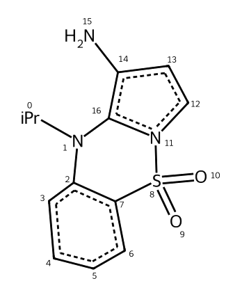 CC(C)N1c2ccccc2S(=O)(=O)n2ccc(N)c21